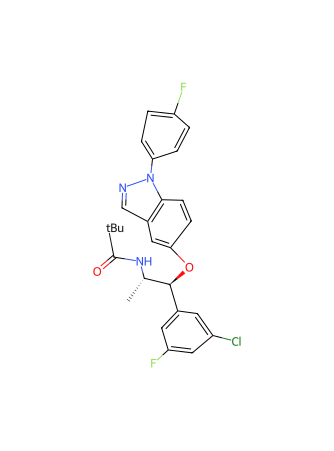 C[C@H](NC(=O)C(C)(C)C)[C@@H](Oc1ccc2c(cnn2-c2ccc(F)cc2)c1)c1cc(F)cc(Cl)c1